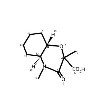 CN1C(=O)C(C)(C(=O)O)O[C@H]2CCCC[C@@H]21